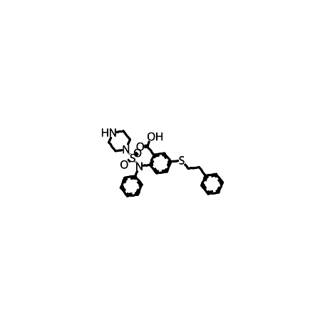 O=C(O)c1cc(SCCc2ccccc2)ccc1N(c1ccccc1)S(=O)(=O)N1CCNCC1